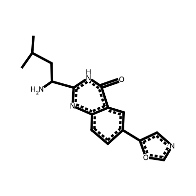 CC(C)CC(N)c1nc2ccc(-c3cnco3)cc2c(=O)[nH]1